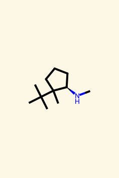 CN[C@@H]1CCCC1(C)C(C)(C)C